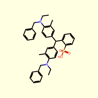 CCN(Cc1ccccc1)c1ccc(C(c2ccc(N(CC)Cc3ccccc3)c(C)c2)c2ccccc2S(=O)(=O)O)cc1C